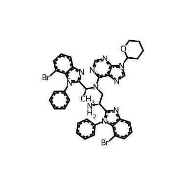 C[C@@H](c1nc2cccc(Br)c2n1-c1ccccc1)N(C[C@H](N)c1nc2cccc(Br)c2n1-c1ccccc1)c1ncnc2c1ncn2C1CCCCO1